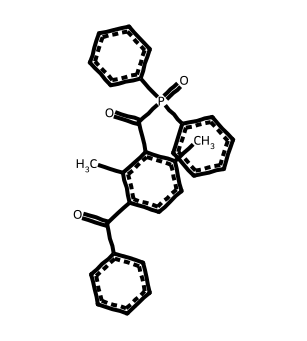 Cc1ccc(C(=O)c2ccccc2)c(C)c1C(=O)P(=O)(c1ccccc1)c1ccccc1